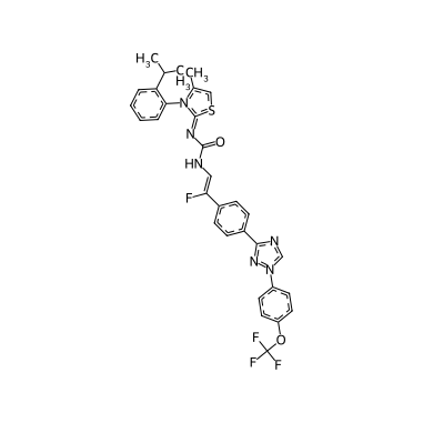 Cc1cs/c(=N\C(=O)N/C=C(\F)c2ccc(-c3ncn(-c4ccc(OC(F)(F)F)cc4)n3)cc2)n1-c1ccccc1C(C)C